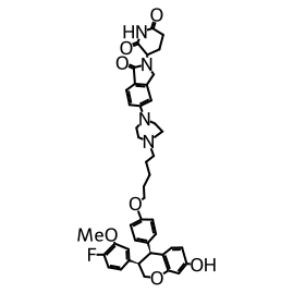 COc1cc([C@@H]2COc3cc(O)ccc3[C@@H]2c2ccc(OCCCCCN3CCN(c4ccc5c(c4)CN(C4CCC(=O)NC4=O)C5=O)CC3)cc2)ccc1F